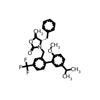 C=C1OC(=O)N(Cc2cc(C(F)(F)F)ccc2-c2cc(C(C)C)ccc2OC)[C@H]1Cc1ccccc1